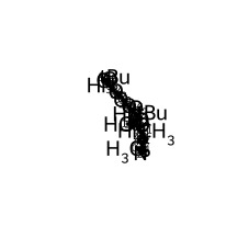 Cc1ncsc1-c1ccc([C@H](C)NC(=O)[C@@H]2C[C@@H](O)CN2C(=O)[C@@H](NC(=O)COCCOCCOCCNC(=O)OC(C)(C)C)C(C)(C)C)cc1